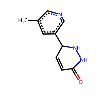 Cc1cncc(C2C=CC(=O)NN2)c1